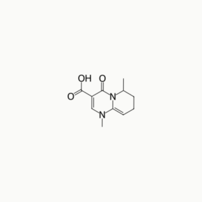 CC1CCC=C2N(C)C=C(C(=O)O)C(=O)N21